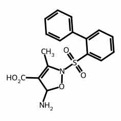 CC1=C(C(=O)O)C(N)ON1S(=O)(=O)c1ccccc1-c1ccccc1